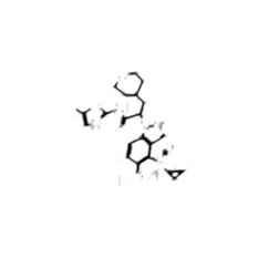 O=C(Nc1ncc(F)s1)C(CC1CCOCC1)n1ncc2c(S(=O)(=O)C3CC3)c(O)ccc21